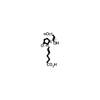 CCCCCCCC/C=C(/O)[C@H]1CCC(=O)[C@H]1CC=CCCCC(=O)O